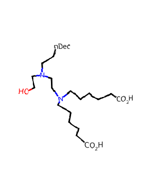 CCCCCCCCCCCCN(CCO)CCN(CCCCCC(=O)O)CCCCCC(=O)O